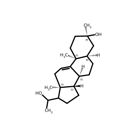 CC(O)C1CC[C@H]2[C@@H]3CC[C@@H]4C[C@](C)(O)CC[C@]4(C)C3=CC[C@]12C